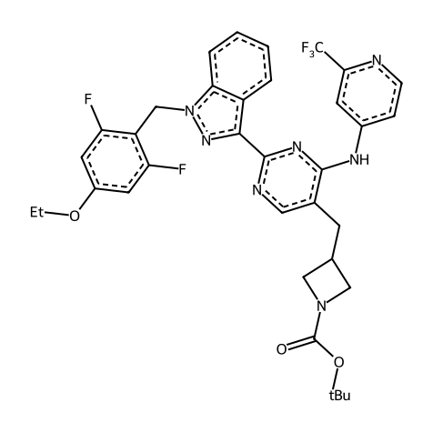 CCOc1cc(F)c(Cn2nc(-c3ncc(CC4CN(C(=O)OC(C)(C)C)C4)c(Nc4ccnc(C(F)(F)F)c4)n3)c3ccccc32)c(F)c1